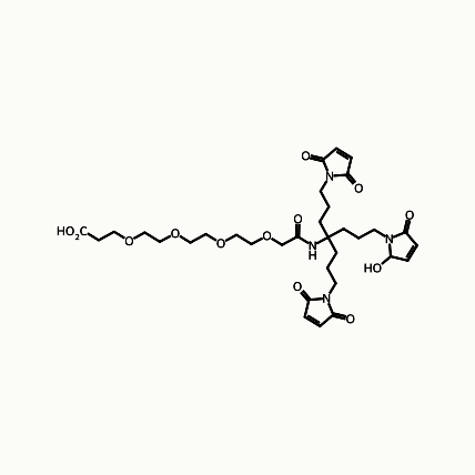 O=C(O)CCOCCOCCOCCOCC(=O)NC(CCCN1C(=O)C=CC1=O)(CCCN1C(=O)C=CC1=O)CCCN1C(=O)C=CC1O